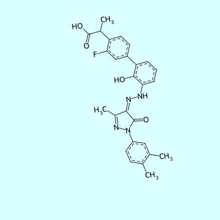 CC1=NN(c2ccc(C)c(C)c2)C(=O)C1=NNc1cccc(-c2ccc(C(C)C(=O)O)c(F)c2)c1O